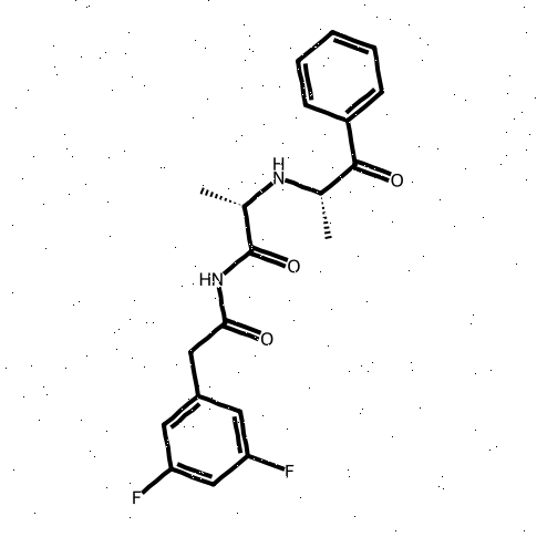 C[C@H](N[C@@H](C)C(=O)c1ccccc1)C(=O)NC(=O)Cc1cc(F)cc(F)c1